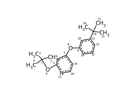 CC(C)(C)Oc1cc(Oc2cccc(C(C)(C)C)c2)ccn1